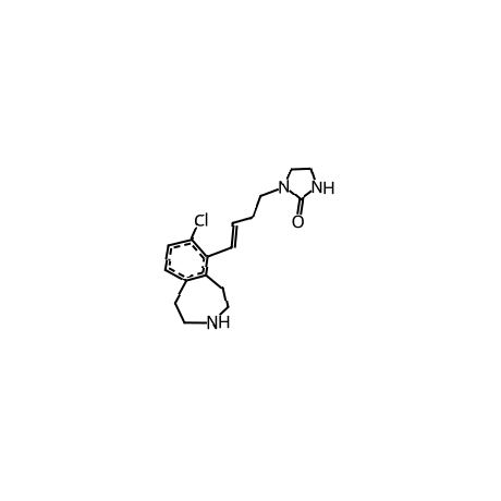 O=C1NCCN1CCC=Cc1c(Cl)ccc2c1CCNCC2